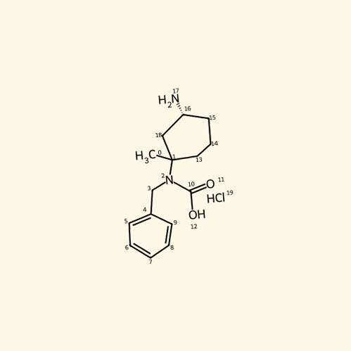 CC1(N(Cc2ccccc2)C(=O)O)CCC[C@@H](N)C1.Cl